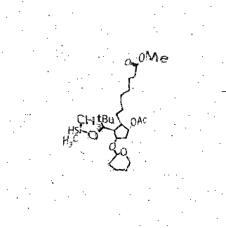 COC(=O)CCCCCC[C@@H]1[C@H](C(O[SiH](C)C)C(C)(C)C)[C@H](OC2CCCCO2)C[C@H]1OC(C)=O